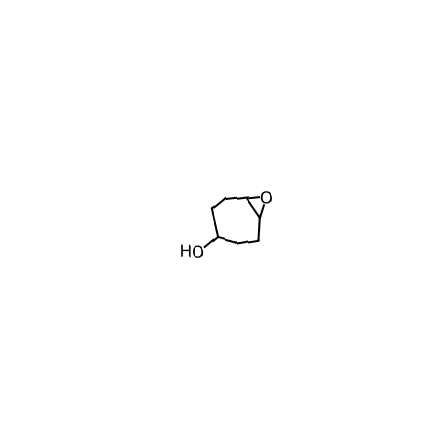 OC1CCC2OC2CC1